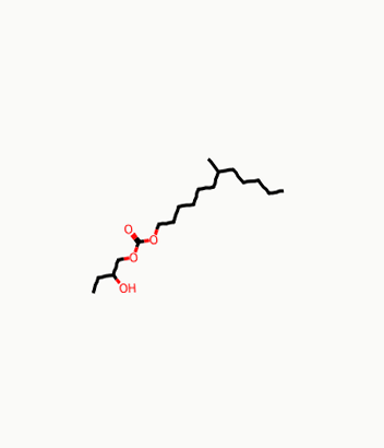 CCCCCC(C)CCCCCCOC(=O)OCC(O)CC